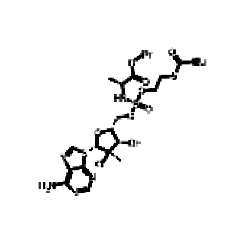 CC(C)OC(=O)[C@H](C)N[P@](=O)(OCCSC(=O)C(C)(C)C)OC[C@H]1O[C@@H](n2cnc3c(N)ncnc32)[C@](C)(Cl)[C@@H]1O